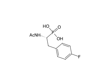 CC(=O)N[C@@H](Cc1ccc(F)cc1)P(=O)(O)O